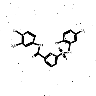 O=C(Nc1ccc(Cl)c([N+](=O)[O-])c1)c1cccc(S(=O)(=O)Nc2cc(C(F)(F)F)ccc2Cl)c1